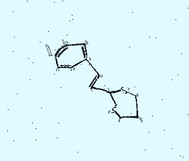 C(=CC1SCCCS1)c1ccccc1